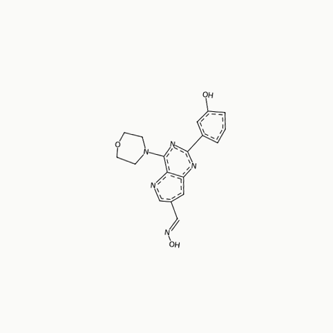 O/N=C/c1cnc2c(N3CCOCC3)nc(-c3cccc(O)c3)nc2c1